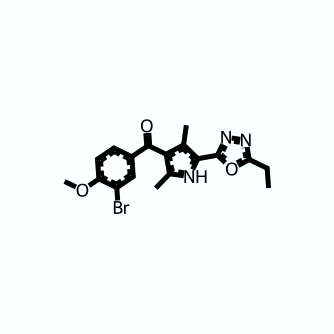 CCc1nnc(-c2[nH]c(C)c(C(=O)c3ccc(OC)c(Br)c3)c2C)o1